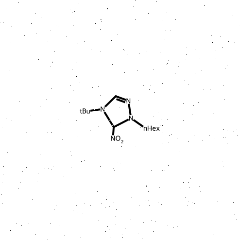 CCCCCCN1N=CN(C(C)(C)C)C1[N+](=O)[O-]